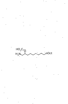 CCCCCCCCCCCCCCCC(CN)OC(=O)O